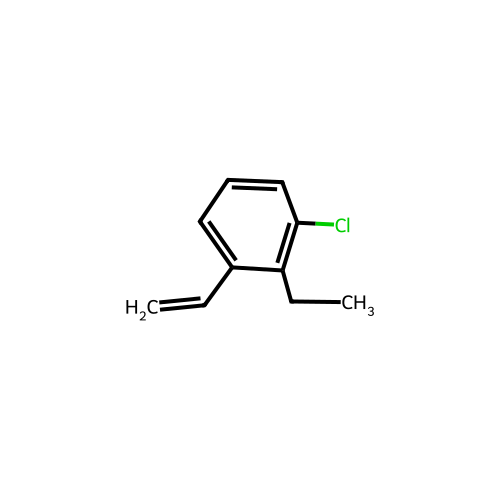 C=Cc1cccc(Cl)c1CC